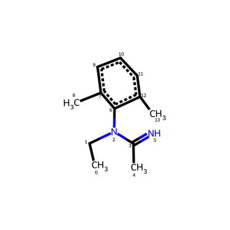 CCN(C(C)=N)c1c(C)cccc1C